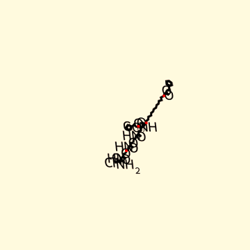 CC(N)(NC(=O)COCCNC(=O)COCCNC(=O)CC[C@H](NC(=O)CCCCCCCCCCCCCCCCC(=O)OCc1ccccc1)C(=O)OCc1ccccc1)C(=O)CCl